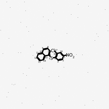 O=[N+]([O-])c1ccc(Sc2cccc3ccccc23)c(Cl)c1